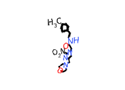 Cc1ccc(CCNC(=O)Cn2cc(CN3CCOCC3)nc2[N+](=O)[O-])cc1